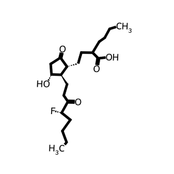 CCCCC(CC[C@H]1C(=O)C[C@@H](O)[C@@H]1CCC(=O)[C@@H](F)CCCC)C(=O)O